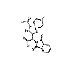 CN1CCC2(CC1)SC(C(C(=O)O)N1C(=O)c3ccccc3C1=O)NC2C(=O)O